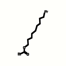 CCC(=O)OCCCCCCCCCC(C)C